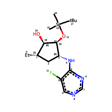 CC[C@H]1C[C@@H](Nc2ncncc2F)[C@H](O[Si](C)(C)C(C)(C)C)[C@@H]1O